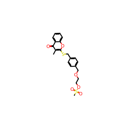 Cc1c(SCc2ccc(COCCOS(C)(=O)=O)cc2)oc2ccccc2c1=O